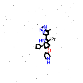 Cc1cc(-c2[nH]c3c(C4CCCC4)cc(O[C@H]4CCCNC4)cc3c2C(C)C)cn2ncnc12